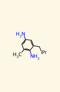 Cc1cc(N)cc(CC(C)C)c1N